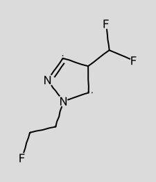 FCCN1[CH]C(C(F)F)[C]=N1